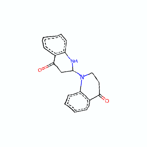 O=C1CC(N2CCC(=O)c3ccccc32)Nc2ccccc21